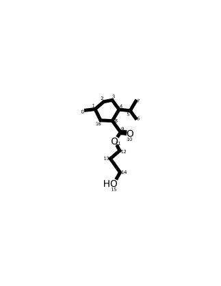 CC1CCC(C(C)C)C(C(=O)OCCCO)C1